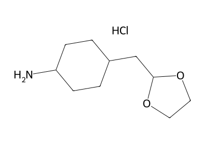 Cl.NC1CCC(CC2OCCO2)CC1